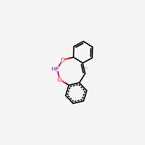 C1=C/C2=C/c3ccccc3OPOC2C=C1